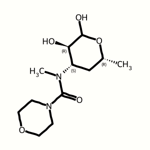 C[C@@H]1C[C@H](N(C)C(=O)N2CCOCC2)[C@@H](O)C(O)O1